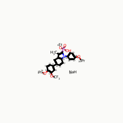 CCOP(=O)(O)c1c(C)c2cc(-c3ccc(OC(C)C)c(OC(F)(F)F)c3)ccc2n1-c1ccc(OC(C)C)cc1.[NaH]